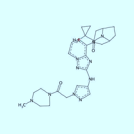 CN1CCN(C(=O)Cn2cc(Nc3nc4c(N5CC6CCC(C5)N6C(=O)C5(C)CC5)cccn4n3)cn2)CC1